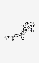 CCNC(=O)/N=C(/N)NCCC[C@@H](NC(=O)[C@H](c1ccccc1)N1Cc2ccc(NCCCN)cc2C1)C(=O)NCc1c(F)cc(O)cc1F